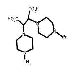 CC(C)N1CCN(C(C(=O)O)C(C(=O)O)N2CCN(C)CC2)CC1